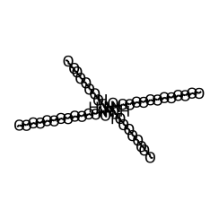 COCCCOCOCCOCCOCCOCCOCCOCCCNc1nc(C(=O)NCCOCCOCCOCCOCCOCCOCCOCCOCCOCCOCCOCCOC)c(NCCCOCCOCCOCCOCCOCCOCOCCCOC)nc1C(=O)NCCOCCOCCOCCOCCOCCOCCOCCOCCOCCOCCOCCOC